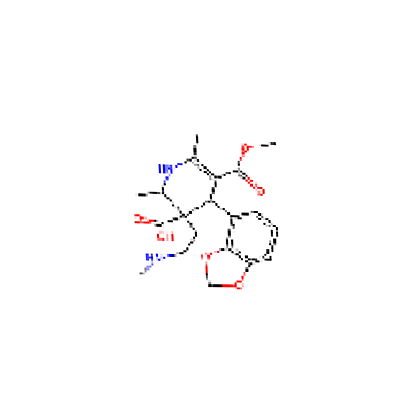 CNCCC1(C(=O)O)C(C)NC(C)=C(C(=O)OC)C1c1cccc2c1OCO2